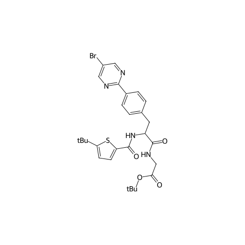 CC(C)(C)OC(=O)CNC(=O)C(Cc1ccc(-c2ncc(Br)cn2)cc1)NC(=O)c1ccc(C(C)(C)C)s1